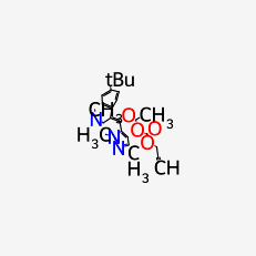 C#CCOC(=O)OC(C)O/C(=C(/C=N\C)c1ccc(C(C)(C)C)cc1)c1cc(C)nn1C